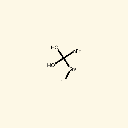 CCC[C](O)(O)[Sn][Cl]